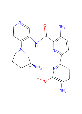 COc1nc(-c2ccc(N)c(C(=O)Nc3cnccc3N3CCC[C@H](N)C3)n2)ccc1N